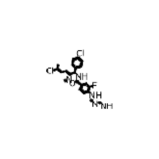 C=N/C(=C\C=C(/C)Cl)[C@@H](NC(=O)c1ccc(N/C=N\C=N)c(F)c1)c1ccc(Cl)cc1